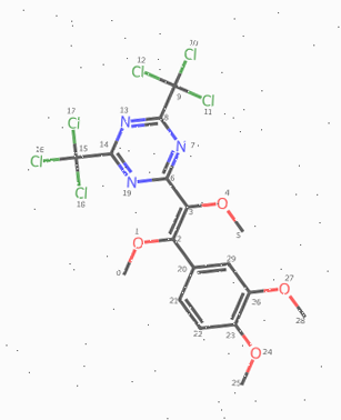 COC(=C(OC)c1nc(C(Cl)(Cl)Cl)nc(C(Cl)(Cl)Cl)n1)c1ccc(OC)c(OC)c1